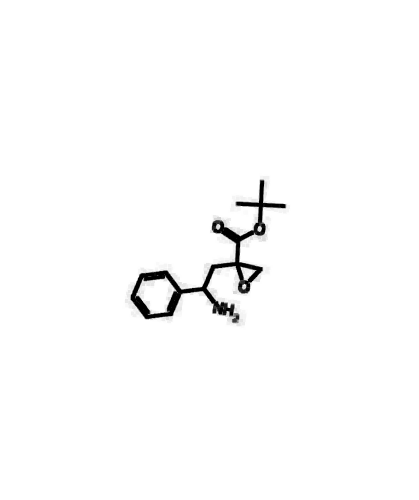 CC(C)(C)OC(=O)C1(CC(N)c2ccccc2)CO1